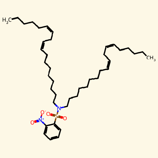 CCCCC/C=C\C/C=C\CCCCCCCCN(CCCCCCCC/C=C\C/C=C\CCCCC)S(=O)(=O)c1ccccc1[N+](=O)[O-]